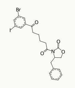 O=C(CCCCC(=O)N1C(=O)OCC1Cc1ccccc1)c1cc(Br)cc(I)c1